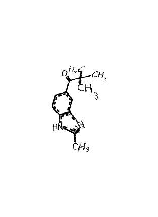 Cc1nc2cc(C(=O)C(C)(C)C)ccc2[nH]1